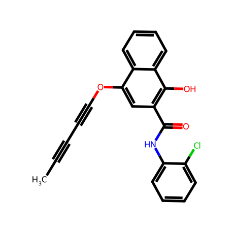 CC#CC#COc1cc(C(=O)Nc2ccccc2Cl)c(O)c2ccccc12